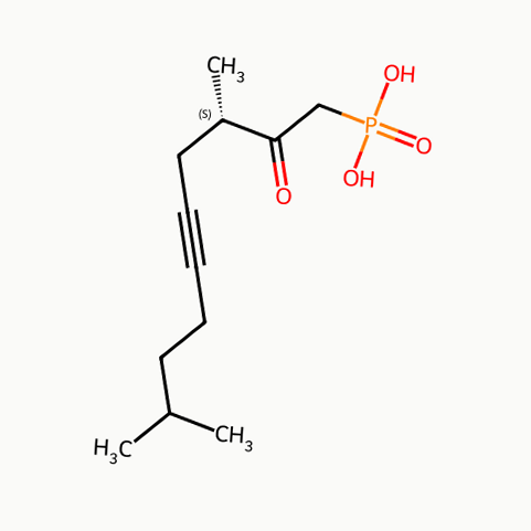 CC(C)CCC#CC[C@H](C)C(=O)CP(=O)(O)O